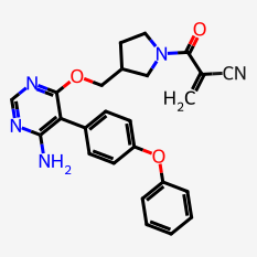 C=C(C#N)C(=O)N1CCC(COc2ncnc(N)c2-c2ccc(Oc3ccccc3)cc2)C1